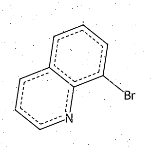 Brc1c[c]cc2cccnc12